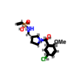 C=CS(=O)(=O)NC[C@H]1CCN(C(=O)c2cc(Cl)ccc2OC)C1